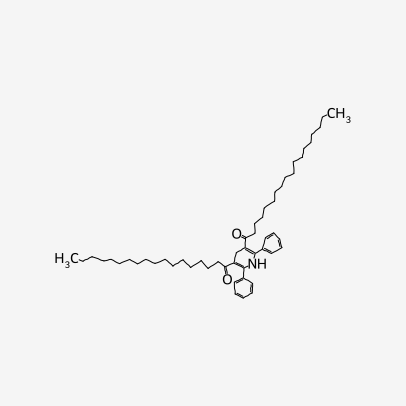 CCCCCCCCCCCCCCCCCC(=O)C1=C(c2ccccc2)NC(c2ccccc2)=C(C(=O)CCCCCCCCCCCCCCCCC)C1